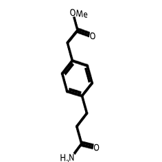 COC(=O)Cc1ccc(CCC(N)=O)cc1